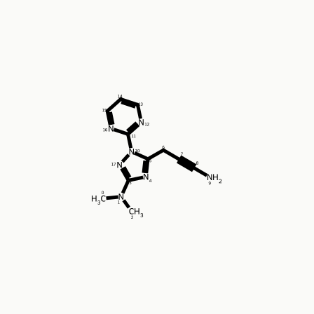 CN(C)c1nc(CC#CN)n(-c2ncccn2)n1